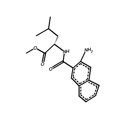 COC(=O)[C@H](CC(C)C)NC(=O)c1cc2ccccc2cc1N